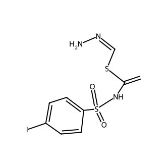 C=C(NS(=O)(=O)c1ccc(I)cc1)S/C=N\N